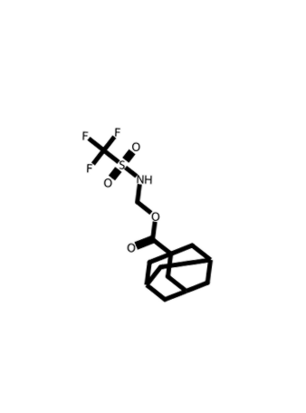 O=C(OCNS(=O)(=O)C(F)(F)F)C12CC3CC(CC(C3)C1)C2